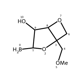 BC1OC2(COC)COC2C1O